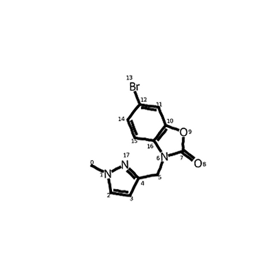 Cn1ccc(Cn2c(=O)oc3cc(Br)ccc32)n1